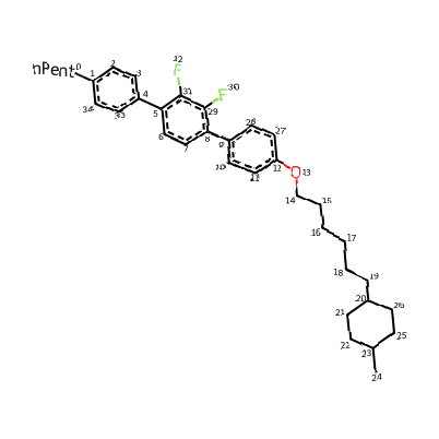 CCCCCc1ccc(-c2ccc(-c3ccc(OCCCCCCC4CCC(C)CC4)cc3)c(F)c2F)cc1